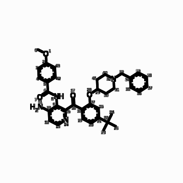 COc1ccc(C(=O)Nc2c(N)ccnc2C(=O)c2ccc(C(C)(C)C)cc2OC2CCN(Cc3ccccc3)CC2)cc1